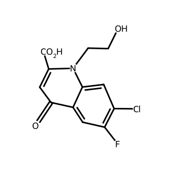 O=C(O)c1cc(=O)c2cc(F)c(Cl)cc2n1CCO